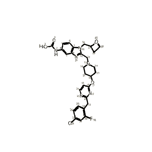 O=C(O)Nc1ccc2c(c1)nc(CN1CCC(Oc3ccnc(Cc4ccc(Cl)cc4F)n3)CC1)n2CC1CCO1